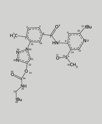 Cc1ccc(C(=O)Nc2cc(C(C)(C)C)ncc2[S+](C)[O-])cc1-n1cc(OC(=O)NCC(C)(C)C)nn1